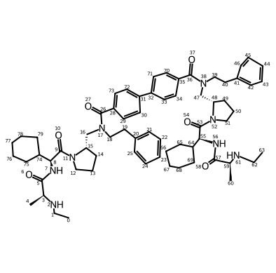 CCN[C@@H](C)C(=O)N[C@H](C(=O)N1CCC[C@H]1CN(CCc1ccccc1)C(=O)c1ccc(-c2ccc(C(=O)N(CCc3ccccc3)C[C@@H]3CCCN3C(=O)[C@@H](NC(=O)[C@H](C)NCC)C3CCCCC3)cc2)cc1)C1CCCCC1